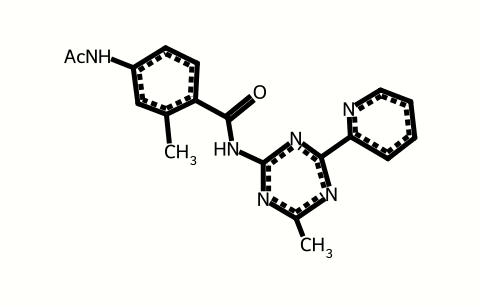 CC(=O)Nc1ccc(C(=O)Nc2nc(C)nc(-c3ccccn3)n2)c(C)c1